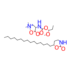 CCC(OC)OC(=O)NC(C[N+](C)(C)C)C(=O)[O-].CCCCCCCCCCCCCCCC1CCNC(=O)O1